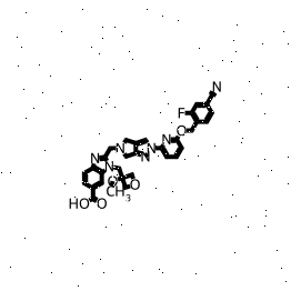 COC1(Cn2c(CN3Cc4cn(-c5cccc(OCc6ccc(C#N)cc6F)n5)nc4C3)nc3ccc(C(=O)O)cc32)COC1